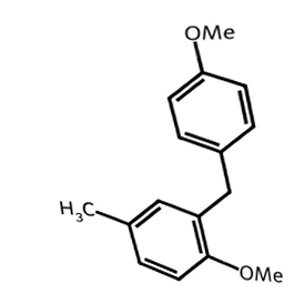 COc1ccc(Cc2cc(C)ccc2OC)cc1